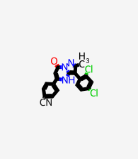 Cc1nn2c(=O)cc(-c3ccc(C#N)cc3)[nH]c2c1-c1ccc(Cl)cc1Cl